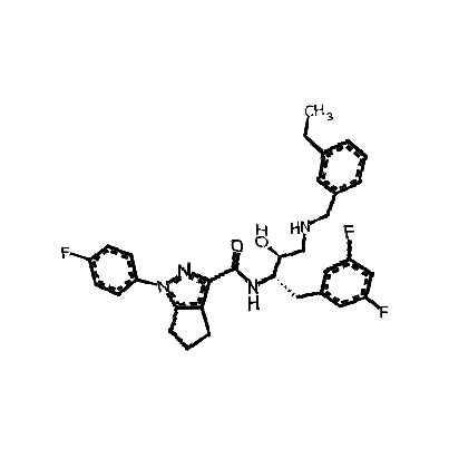 CCc1cccc(CNC[C@H](O)[C@H](Cc2cc(F)cc(F)c2)NC(=O)c2nn(-c3ccc(F)cc3)c3c2CCC3)c1